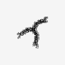 CCCCC(CC)COc1ccc(-c2ccc(-c3ccc(N(c4ccc(-c5ccc(-c6ccc(OCC(CC)CCCC)cc6)s5)cc4)c4ccc(-c5ccc(-c6ccc(OCC(CC)CCCC)cc6)s5)cc4)cc3)s2)cc1